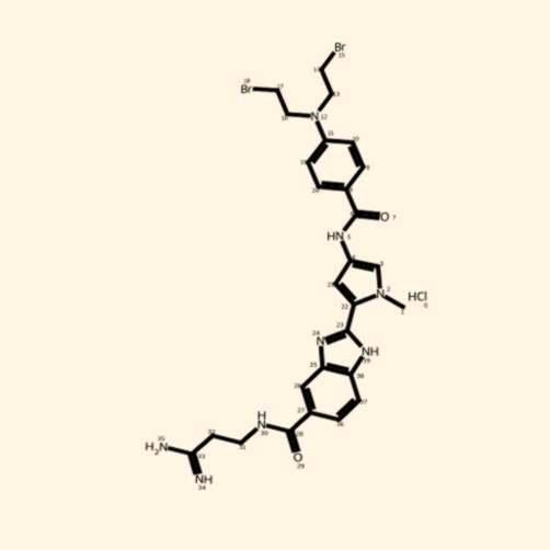 Cl.Cn1cc(NC(=O)c2ccc(N(CCBr)CCBr)cc2)cc1-c1nc2cc(C(=O)NCCC(=N)N)ccc2[nH]1